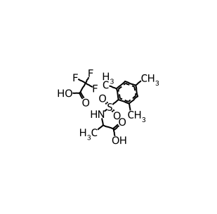 Cc1cc(C)c(S(=O)(=O)NC(C)C(=O)O)c(C)c1.O=C(O)C(F)(F)F